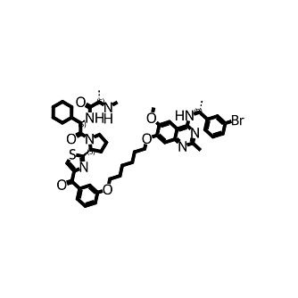 CN[C@@H](C)C(=O)N[C@H](C(=O)N1CCC[C@H]1c1nc(C(=O)c2cccc(OCCCCCCOc3cc4nc(C)nc(N[C@H](C)c5cccc(Br)c5)c4cc3OC)c2)cs1)C1CCCCC1